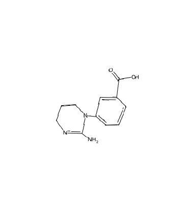 NC1=NCCCN1c1cccc(C(=O)O)c1